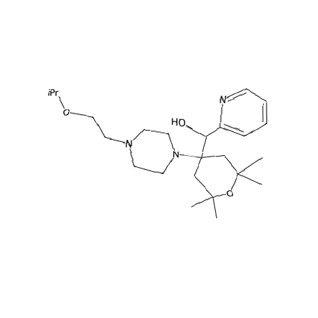 CC(C)OCCN1CCN(C2(C(O)c3ccccn3)CC(C)(C)OC(C)(C)C2)CC1